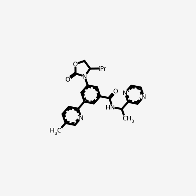 Cc1ccc(-c2cc(C(=O)NC(C)c3cnccn3)cc(N3C(=O)OCC3C(C)C)c2)nc1